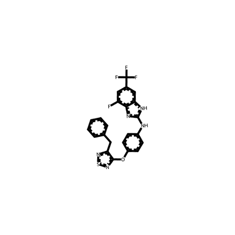 Fc1cc(C(F)(F)F)cc2[nH]c(Nc3ccc(Oc4nsnc4Cc4ccccc4)cc3)nc12